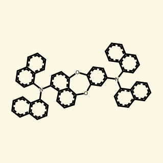 c1ccc2c(N(c3ccc4c(c3)Oc3cccc5c(N(c6cccc7ccccc67)c6cccc7ccccc67)ccc(c35)O4)c3cccc4ccccc34)cccc2c1